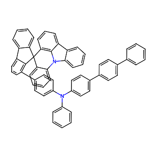 c1ccc(-c2ccc(-c3ccc(N(c4ccccc4)c4ccc(-c5cccc6c5C5(c7ccccc7-6)c6ccccc6-n6c7ccccc7c7cccc5c76)cc4)cc3)cc2)cc1